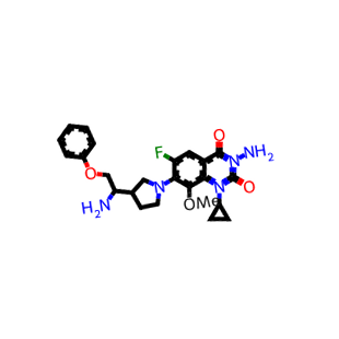 COc1c(N2CCC(C(N)COc3ccccc3)C2)c(F)cc2c(=O)n(N)c(=O)n(C3CC3)c12